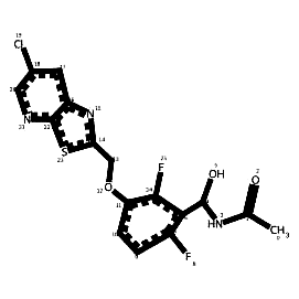 CC(=O)NC(O)c1c(F)ccc(OCc2nc3cc(Cl)cnc3s2)c1F